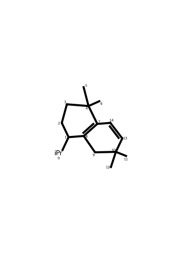 CC(C)C1CCC(C)(C)C2=C1CC(C)(C)C=C2